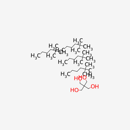 CCCCC(C)(C)C.CCCCC(C)(C)C.CCCCC(C)(C)C.CCCCC(C)(C)C.OCC(CO)(CO)CO